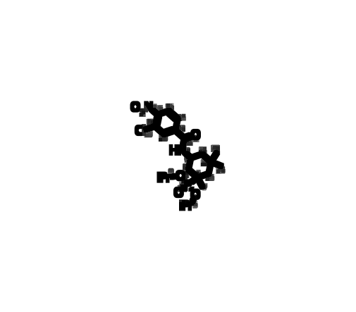 CC(C)OP(=O)(OC(C)C)C1(C)CC(NC(=O)c2ccc([N+](=O)[O-])c(Cl)c2)CC(C)(C)C1